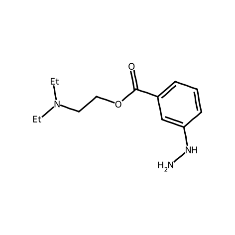 CCN(CC)CCOC(=O)c1cccc(NN)c1